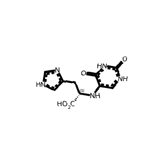 O=C(O)[C@H](Cc1c[nH]cn1)Nc1c[nH]c(=O)[nH]c1=O